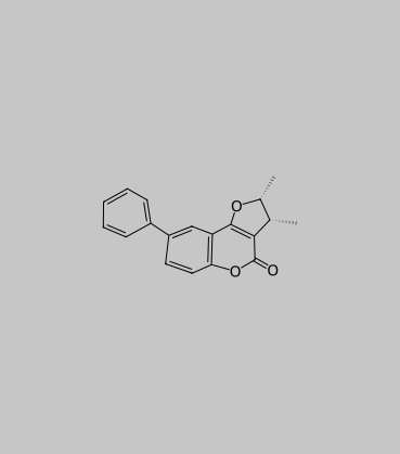 C[C@@H]1c2c(c3cc(-c4ccccc4)ccc3oc2=O)O[C@@H]1C